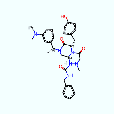 CC(C)N(C)c1cccc([C@@H](C)N2C[C@H]3N(C(=O)CN(C)N3C(=O)NCc3ccccc3)[C@@H](Cc3ccc(O)cc3)C2=O)c1